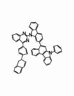 C1=CC(c2ccc(-c3nc(-n4c5ccccc5c5ccc(-c6cc7c(c8ccccc68)c6ccccc6n7-c6ccccc6)cc54)nc4ccccc34)cc2)Cc2ccccc21